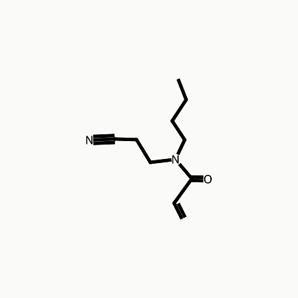 C=CC(=O)N(CCC#N)CCCC